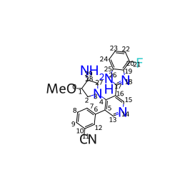 COC1CN(c2c(-c3cccc(C#N)c3)cncc2-c2nc3c(F)cccc3[nH]2)CC1N